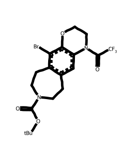 CC(C)(C)OC(=O)N1CCc2cc3c(c(Br)c2CC1)OCCN3C(=O)C(F)(F)F